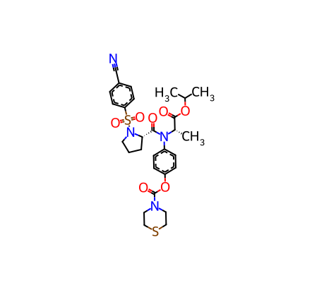 CC(C)OC(=O)[C@H](C)N(C(=O)[C@@H]1CCCN1S(=O)(=O)c1ccc(C#N)cc1)c1ccc(OC(=O)N2CCSCC2)cc1